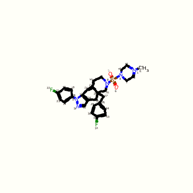 CN1CCN(S(=O)(=O)N2CCC3=Cc4c(cnn4-c4ccc(F)cc4)CC3(Cc3ccc(F)cc3)C2)CC1